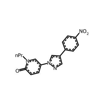 CCCn1cc(-n2cc(-c3ccc([N+](=O)[O-])cc3)cn2)ccc1=O